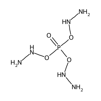 NNOP(=O)(ONN)ONN